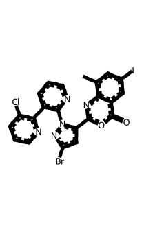 Cc1cc(I)cc2c(=O)oc(-c3cc(Br)nn3-c3ncccc3-c3ncccc3Cl)nc12